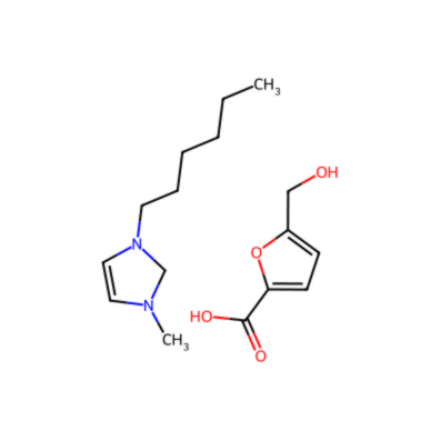 CCCCCCN1C=CN(C)C1.O=C(O)c1ccc(CO)o1